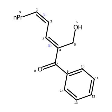 CCC/C=C\C=C(/CO)C(=O)c1ccccc1